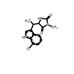 CC(c1c[nH]c2c(Cl)cccc12)C1NC(=O)N(C)C1=O